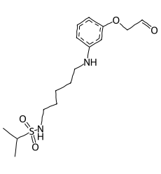 CC(C)S(=O)(=O)NCCCCCNc1cccc(OCC=O)c1